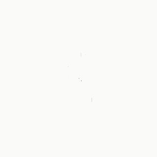 CCc1c2n(c3c(C)cccc13)C(=O)c1ccccc1-2